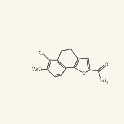 COc1ccc2c(c1Cl)CCc1cc(C(N)=O)sc1-2